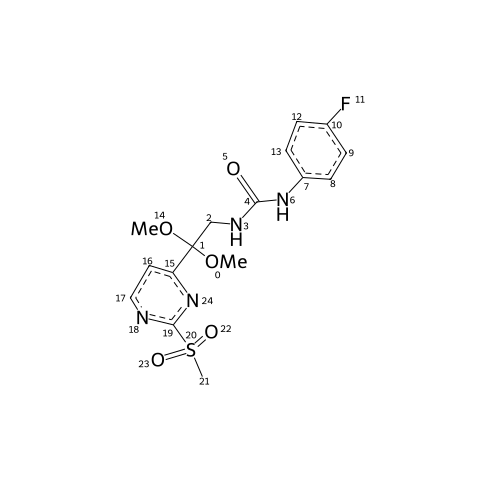 COC(CNC(=O)Nc1ccc(F)cc1)(OC)c1ccnc(S(C)(=O)=O)n1